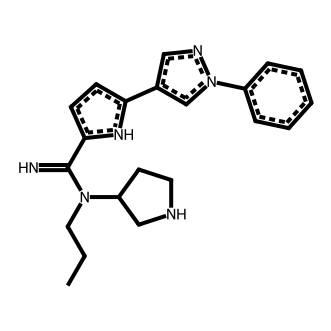 CCCN(C(=N)c1ccc(-c2cnn(-c3ccccc3)c2)[nH]1)C1CCNC1